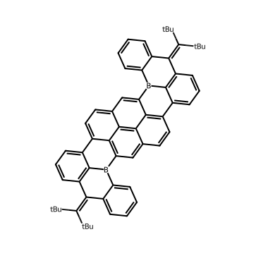 CC(C)(C)C(=C1c2ccccc2B2c3c1cccc3-c1ccc3cc4c5c(ccc6cc2c1c3c65)-c1cccc2c1B4c1ccccc1C2=C(C(C)(C)C)C(C)(C)C)C(C)(C)C